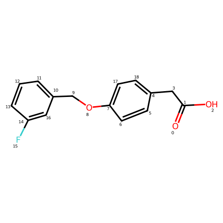 O=C(O)Cc1ccc(OCc2cccc(F)c2)cc1